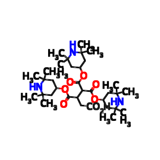 CC1(C)CC(OC(=O)C(CC(=O)O)C(C(=O)OC2CC(C)(C)NC(C)(C)C2)C(=O)OC2CC(C)(C)NC(C)(C)C2)CC(C)(C)N1